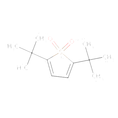 CC(C)(C)C1=CC=C(C(C)(C)C)S1(=O)=O